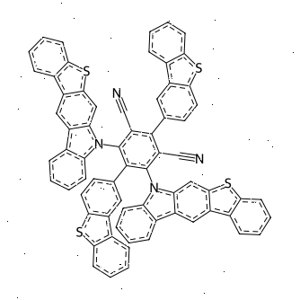 N#Cc1c(-c2ccc3sc4ccccc4c3c2)c(C#N)c(-n2c3ccccc3c3cc4c(cc32)sc2ccccc24)c(-c2ccc3sc4ccccc4c3c2)c1-n1c2ccccc2c2cc3c(cc21)sc1ccccc13